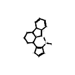 C[SiH](C)C1=C(C2CCCC3C2[C]C2C=CC=CC23)CC=C1